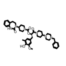 COc1cc(C[C@@H](OC(=O)N2CCC(N3CCc4ccccc4NC3=O)CC2)C(=O)N2CCC(N3CCN(Cc4ccccc4)CC3)CC2)cc(C)c1O